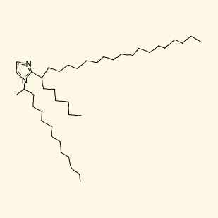 CCCCCCCCCCCCCCCCCCC(CCCCCC)c1nccn1C(C)CCCCCCCCCCCC